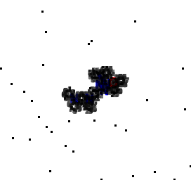 c1ccc(-n2c3ccccc3c3c4c5ccccc5n(-c5ccc(-c6nc(-c7cccc8c7oc7ccccc78)nc(-n7c8ccccc8c8ccccc87)n6)cc5)c4ccc32)cc1